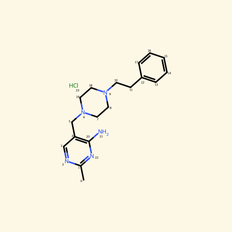 Cc1ncc(CN2CCN(CCc3ccccc3)CC2)c(N)n1.Cl